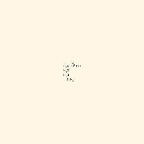 Cl.O.O.O.O.[SnH2]